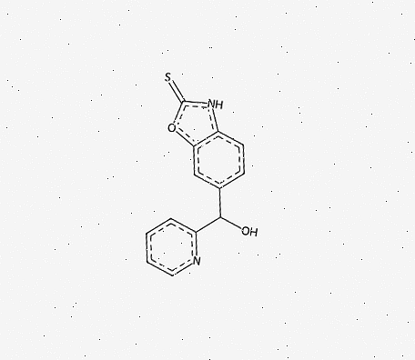 OC(c1ccc2[nH]c(=S)oc2c1)c1ccccn1